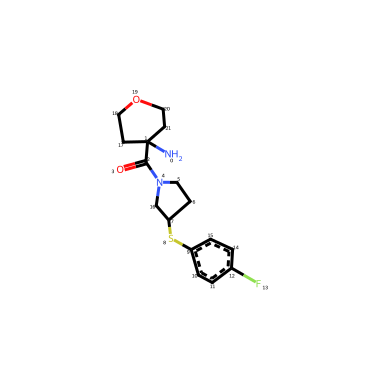 NC1(C(=O)N2CCC(Sc3ccc(F)cc3)C2)CCOCC1